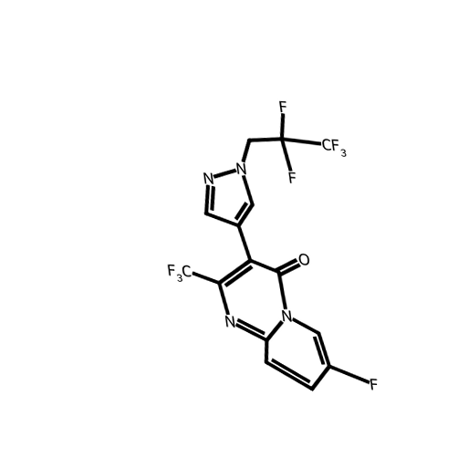 O=c1c(-c2cnn(CC(F)(F)C(F)(F)F)c2)c(C(F)(F)F)nc2ccc(F)cn12